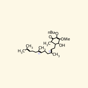 CCCCOC1=C(OC)C(O)C(C/C=C(\C)CC/C=C(\C)CCC=C(C)C)C(C)C1=O